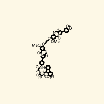 COc1cc2c(cc1OCCCOc1cc3c(cc1OC)C(=O)N1C=C(c4ccc5c(c4)OCO5)C[C@H]1C=N3)N=C[C@@H]1CC(c3ccc(NC(=O)[C@H](C)NC(=O)[C@H](C(C)C)N(CC4c5ccccc5-c5ccccc54)C(=O)O)cc3)=CN1C2=O